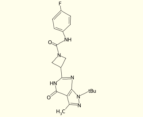 Cc1nn(C(C)(C)C)c2nc(C3CN(C(=O)Nc4ccc(F)cc4)C3)[nH]c(=O)c12